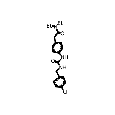 CCN(CC)C(=O)Cc1ccc(NC(=O)NCc2ccc(Cl)cc2)cc1